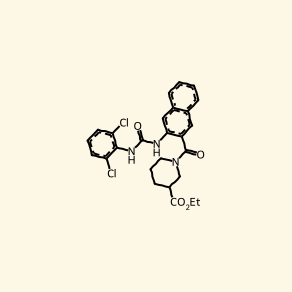 CCOC(=O)C1CCCN(C(=O)c2cc3ccccc3cc2NC(=O)Nc2c(Cl)cccc2Cl)C1